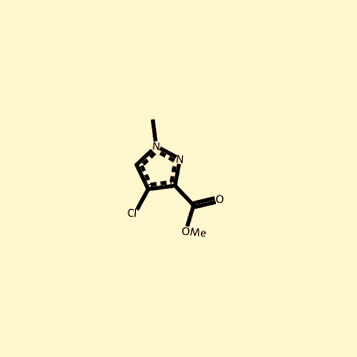 COC(=O)c1nn(C)cc1Cl